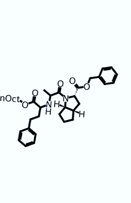 CCCCCCCCOC(=O)C(CCc1ccccc1)NC(C)C(=O)N1[C@H](C(=O)OCc2ccccc2)C[C@@H]2CCC[C@@H]21